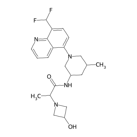 CC1CC(NC(=O)C(C)N2CC(O)C2)CN(c2ccc(C(F)F)c3ncccc23)C1